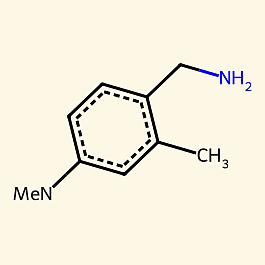 CNc1ccc(CN)c(C)c1